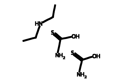 CCNCC.NC(O)=S.NC(O)=S